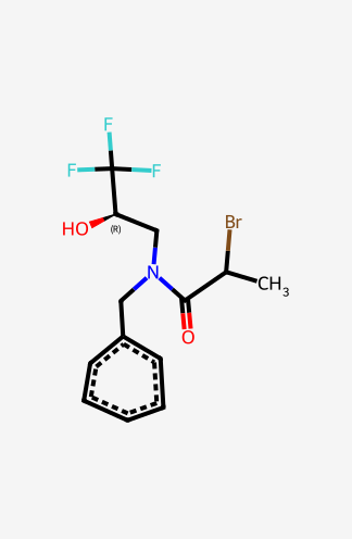 CC(Br)C(=O)N(Cc1ccccc1)C[C@@H](O)C(F)(F)F